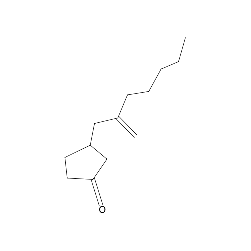 C=C(CCCCC)CC1CCC(=O)C1